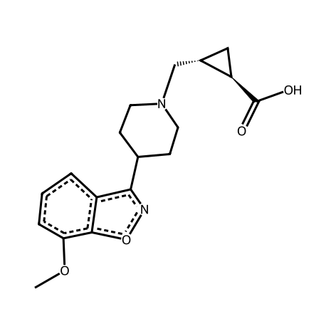 COc1cccc2c(C3CCN(C[C@@H]4C[C@H]4C(=O)O)CC3)noc12